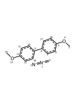 C=[N+]=[N-].COc1ccc(-c2ccc(OC)cc2)cc1